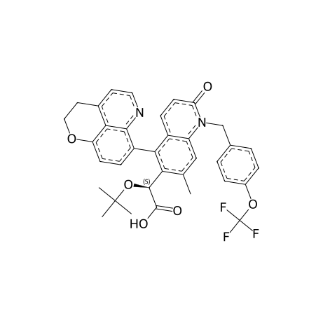 Cc1cc2c(ccc(=O)n2Cc2ccc(OC(F)(F)F)cc2)c(-c2ccc3c4c(ccnc24)CCO3)c1[C@H](OC(C)(C)C)C(=O)O